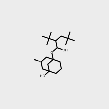 C[C@@H]1CC2(O)CCCC(OC(O)C(CC(C)(C)C)C(C)(C)C)(C1)C2